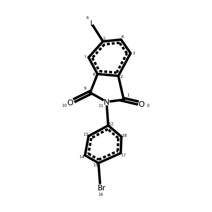 O=C1c2ccc(I)cc2C(=O)N1c1ccc(Br)cc1